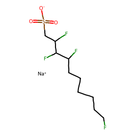 O=S(=O)([O-])CC(F)C(F)C(F)CCCCCCF.[Na+]